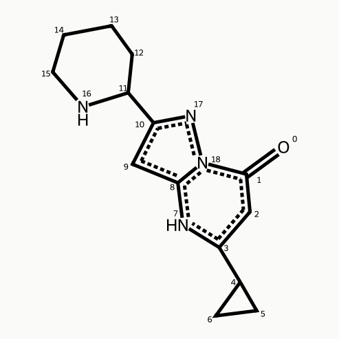 O=c1cc(C2CC2)[nH]c2cc(C3CCCCN3)nn12